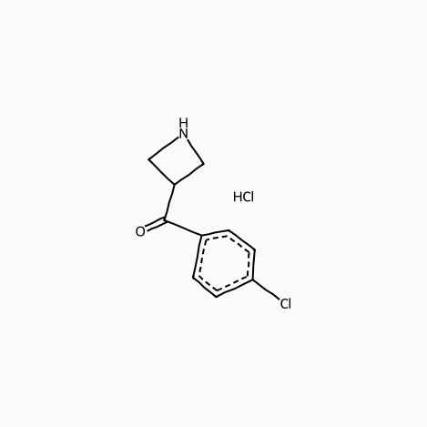 Cl.O=C(c1ccc(Cl)cc1)C1CNC1